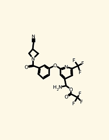 N#CC1CN(C(=O)c2cccc(Oc3cc(C(N)OC(=O)C(F)(F)F)cc(C(F)(F)F)n3)c2)C1